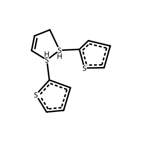 C1=C[SH](c2cccs2)[SH](c2cccs2)C1